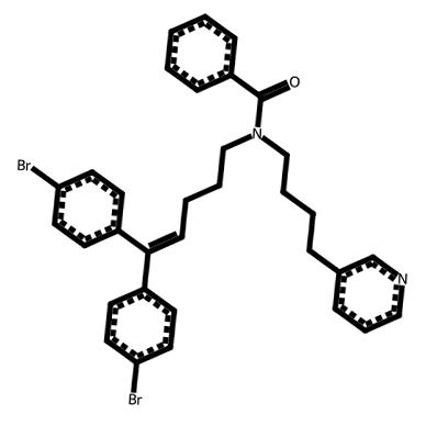 O=C(c1ccccc1)N(CCCC=C(c1ccc(Br)cc1)c1ccc(Br)cc1)CCCCc1cccnc1